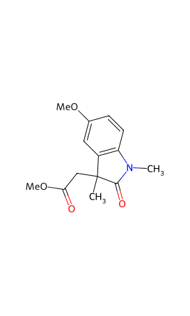 COC(=O)CC1(C)C(=O)N(C)c2ccc(OC)cc21